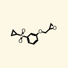 O=S(=O)(c1cccc(OCC2CO2)c1)C1CC1